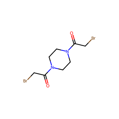 O=C(CBr)N1CCN(C(=O)CBr)CC1